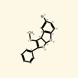 CSC1=C(c2ccccc2)OC2Oc3ccc(Br)cc3C12